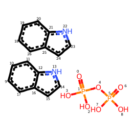 O=P(O)(O)OP(=O)(O)O.c1ccc2[nH]ccc2c1.c1ccc2[nH]ccc2c1